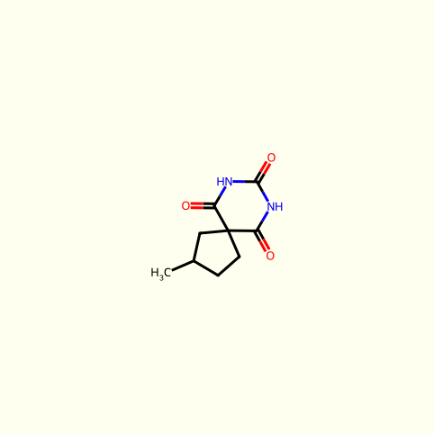 CC1CCC2(C1)C(=O)NC(=O)NC2=O